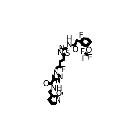 COc1ncccc1CNC(=O)c1cn(CC(F)CCc2nnc(NC(=O)Cc3cc(OC(F)(F)F)ccc3F)s2)nn1